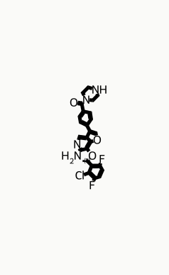 C[C@@H](Oc1c(N)ncc2c(-c3ccc(C(=O)N4CCNCC4)cc3)coc12)c1c(F)ccc(F)c1Cl